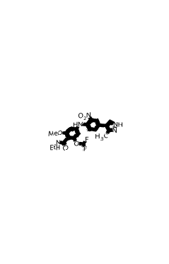 CCNC(=O)c1c(OC)cc(Nc2ccc(-c3c[nH]nc3C)cc2[N+](=O)[O-])cc1OC(F)F